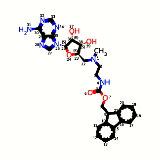 CN(CCNC(=O)OCC1c2ccccc2-c2ccccc21)C[C@H]1O[C@H](n2cnc3c(N)ncnc32)[C@H](O)[C@@H]1O